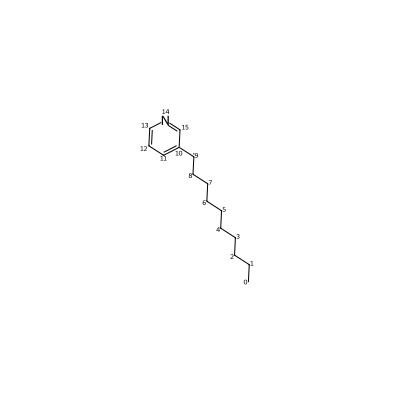 CCCCCCCCC[CH]c1cccnc1